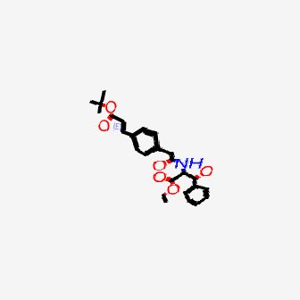 CCOC(=O)C(NC(=O)Cc1ccc(/C=C/C(=O)OC(C)(C)C)cc1)C(=O)c1ccccc1